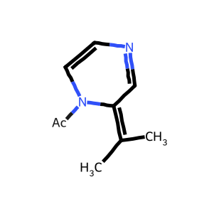 CC(=O)N1C=CN=CC1=C(C)C